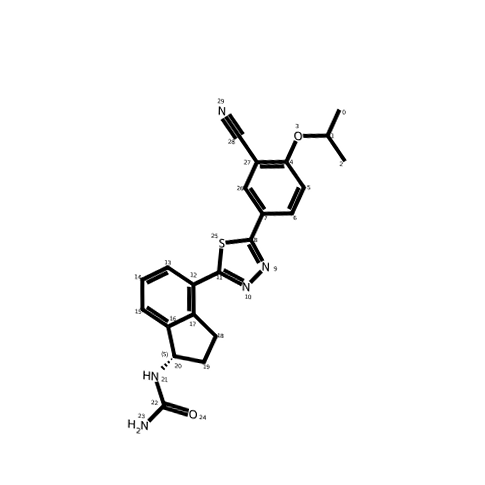 CC(C)Oc1ccc(-c2nnc(-c3cccc4c3CC[C@@H]4NC(N)=O)s2)cc1C#N